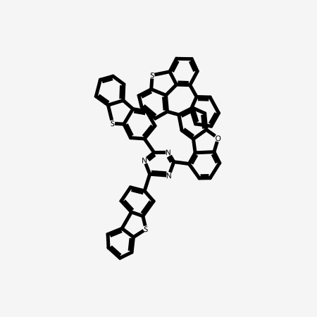 c1ccc(-c2cccc3sc4cccc(-c5ccc6oc7cccc(-c8nc(-c9ccc%10c(c9)sc9ccccc9%10)nc(-c9ccc%10c(c9)sc9ccccc9%10)n8)c7c6c5)c4c23)cc1